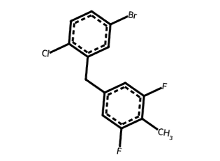 Cc1c(F)cc(Cc2cc(Br)ccc2Cl)cc1F